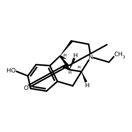 CCN1CC[C@]23CCC(=O)C[C@H]2[C@H]1Cc1ccc(O)cc13